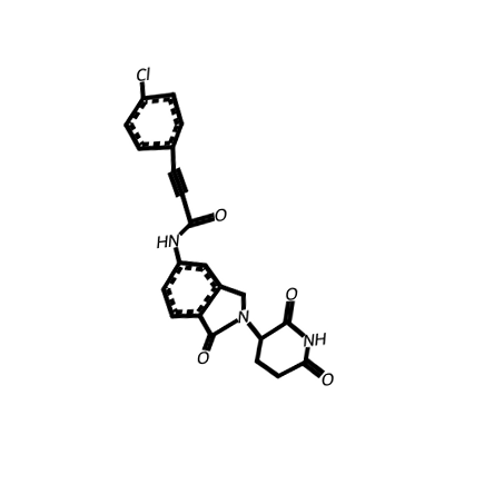 O=C(C#Cc1ccc(Cl)cc1)Nc1ccc2c(c1)CN(C1CCC(=O)NC1=O)C2=O